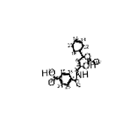 C[C@H](NC[C@@H](O)CC(OP=O)C1CC=CCC1)c1ccc(C(=O)O)cc1